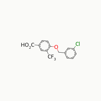 O=C(O)c1ccc(OCc2cccc(Cl)c2)c(C(F)(F)F)c1